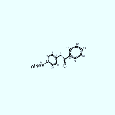 CCCCCCc1ccc(CC(=O)c2ccccc2)cc1